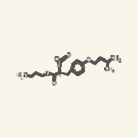 CCCCOC(=O)[C@H](Cc1ccc(OCCC(C)C)cc1)N1OC1=O